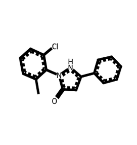 Cc1cccc(Cl)c1-n1[nH]c(-c2ccccc2)cc1=O